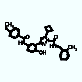 CCc1ccc(C(=O)Nc2ccc(O)c(-c3cc(C4CCC4)n(C(=O)NCc4ccccc4C)n3)c2)cc1